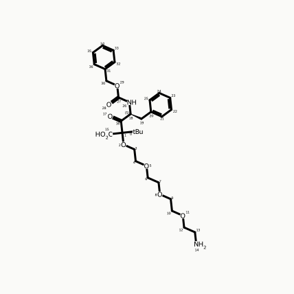 CC(C)(C)C(OCCOCCOCCOCCN)(C(=O)O)C(=O)[C@H](Cc1ccccc1)NC(=O)OCc1ccccc1